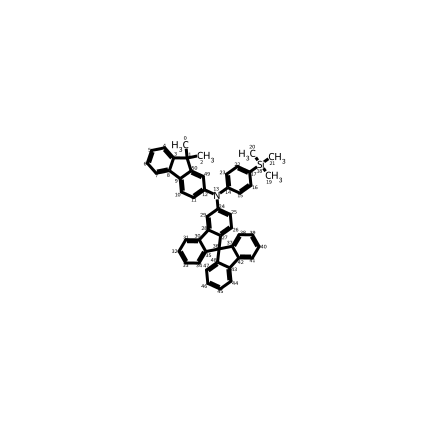 CC1(C)c2ccccc2-c2ccc(N(c3ccc([Si](C)(C)C)cc3)c3ccc4c(c3)-c3ccccc3C43c4ccccc4-c4ccccc43)cc21